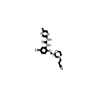 Cc1cnc(NC(=O)Nc2cc(Cl)ccc2OC[C@@H]2CN(CCC#N)CCO2)cn1